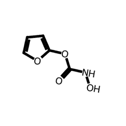 O=C(NO)Oc1ccco1